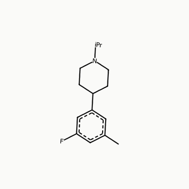 Cc1cc(F)cc(C2CCN(C(C)C)CC2)c1